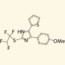 COc1ccc(-c2nc(SC(F)(F)C(F)F)[nH]c2-c2cccs2)cc1